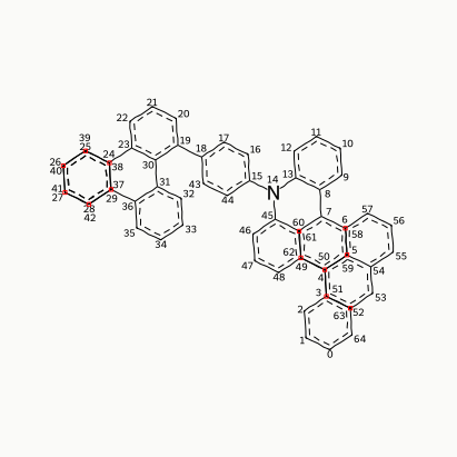 c1ccc(-c2ccc(-c3ccccc3N(c3ccc(-c4cccc(-c5ccccc5)c4-c4ccccc4-c4ccccc4)cc3)c3cccc(-c4cccc5ccccc45)c3)cc2)cc1